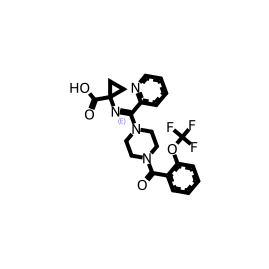 O=C(c1ccccc1OC(F)(F)F)N1CCN(/C(=N/C2(C(=O)O)CC2)c2ccccn2)CC1